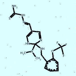 CN(C)C1(NCc2ccccc2OC(F)(F)F)N=CC(/C=N/NC(N)=S)=CN1